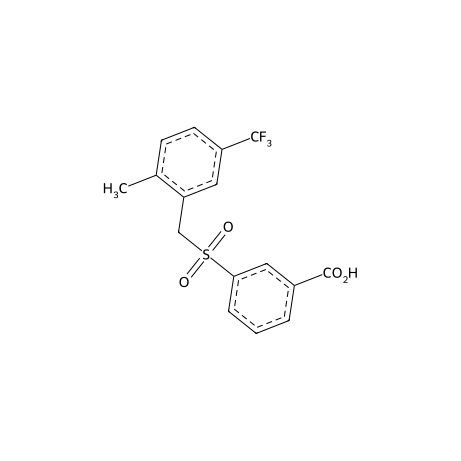 Cc1ccc(C(F)(F)F)cc1CS(=O)(=O)c1cccc(C(=O)O)c1